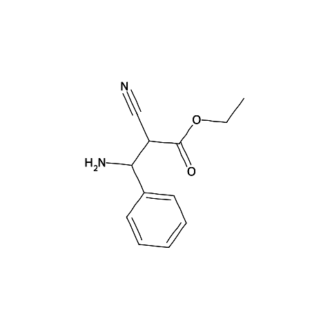 CCOC(=O)C(C#N)C(N)c1ccccc1